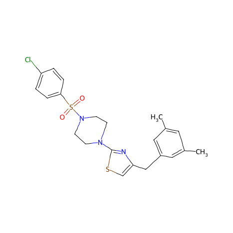 Cc1cc(C)cc(Cc2csc(N3CCN(S(=O)(=O)c4ccc(Cl)cc4)CC3)n2)c1